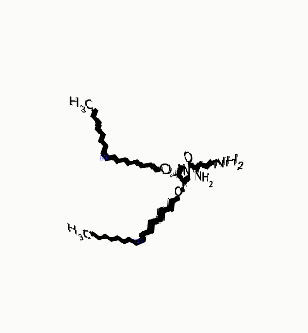 CCCCCCCC/C=C\CCCCCCCCOC[C@@H]1CN(C(=O)[C@@H](N)CCCN)C[C@H]1COCCCCCCCC/C=C\CCCCCCCC